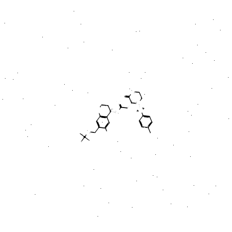 Cc1ccc(S(=O)(=O)N2CCNC(=O)[C@@H]2CC(=O)N[C@@H]2CCOc3cc(CNC(C)(C)C)c(Cl)cc32)cc1